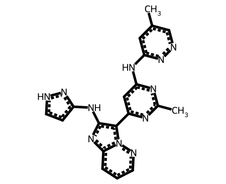 Cc1cnnc(Nc2cc(-c3c(Nc4cc[nH]n4)nc4cccnn34)nc(C)n2)c1